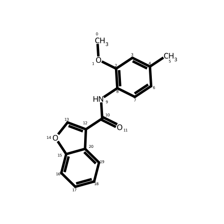 COc1cc(C)ccc1NC(=O)c1coc2ccccc12